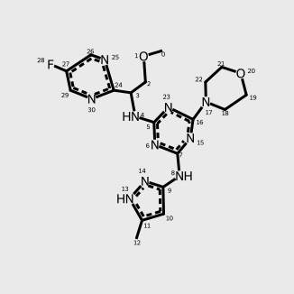 COCC(Nc1nc(Nc2cc(C)[nH]n2)nc(N2CCOCC2)n1)c1ncc(F)cn1